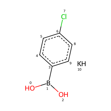 OB(O)c1ccc(Cl)cc1.[KH]